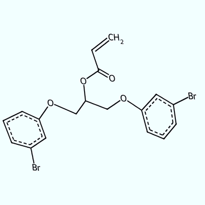 C=CC(=O)OC(COc1cccc(Br)c1)COc1cccc(Br)c1